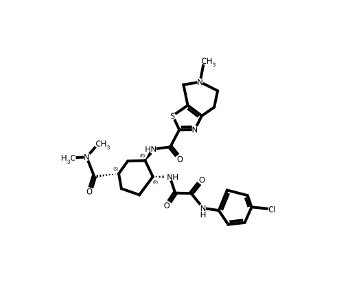 CN1CCc2nc(C(=O)N[C@@H]3C[C@@H](C(=O)N(C)C)CC[C@H]3NC(=O)C(=O)Nc3ccc(Cl)cc3)sc2C1